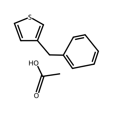 CC(=O)O.c1ccc(Cc2ccsc2)cc1